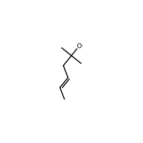 C/C=C/CC(C)(C)[O]